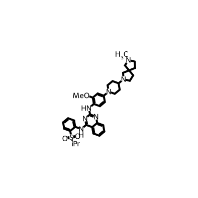 COc1cc(N2CCC(N3CCC4(CCN(C)C4)C3)CC2)ccc1Nc1nc(Nc2ccccc2S(=O)(=O)C(C)C)c2ccccc2n1